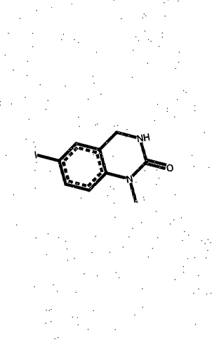 CN1C(=O)NCc2cc(I)ccc21